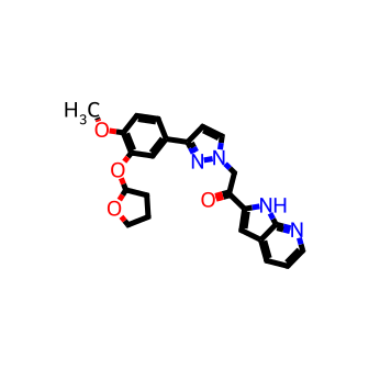 COc1ccc(-c2ccn(CC(=O)c3cc4cccnc4[nH]3)n2)cc1OC1CCCO1